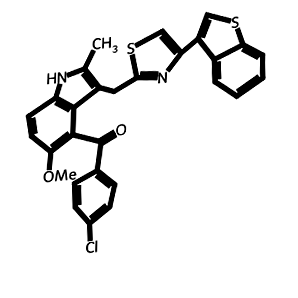 COc1ccc2[nH]c(C)c(Cc3nc(-c4csc5ccccc45)cs3)c2c1C(=O)c1ccc(Cl)cc1